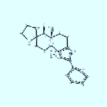 C[C@H]1[C@@H]2CCc3[nH]c(-c4ccccc4)nc3[C@@]2(C)CCC12OCCO2